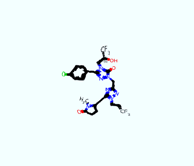 CN1C(=O)CCC1c1nc(Cn2nc(-c3ccc(Cl)cc3)n(C[C@H](O)C(F)(F)F)c2=O)nn1CCC(F)(F)F